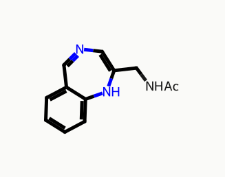 CC(=O)NCC1=CN=Cc2ccccc2N1